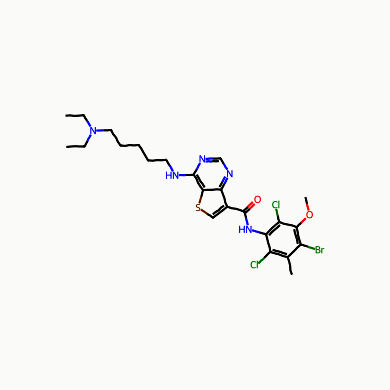 CCN(CC)CCCCCNc1ncnc2c(C(=O)Nc3c(Cl)c(C)c(Br)c(OC)c3Cl)csc12